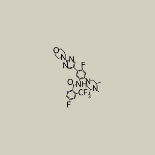 CC1CN(c2cc(F)c(-c3cnc(N4CCOCC4)nc3)cc2NC(=O)c2ccc(F)cc2C(F)(F)F)CC(C)N1C